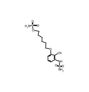 N#Cc1c(NS(N)(=O)=O)cccc1OCCCCCCOS(N)(=O)=O